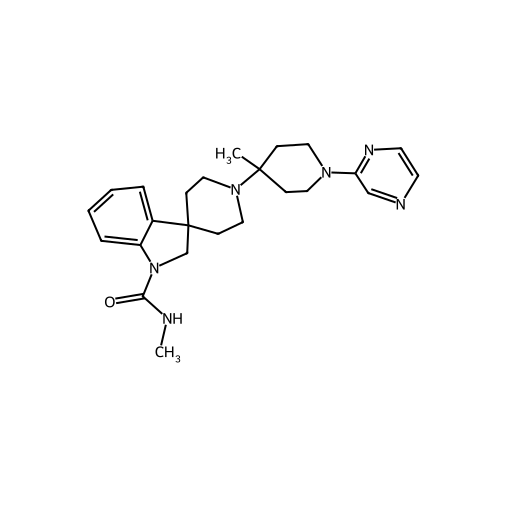 CNC(=O)N1CC2(CCN(C3(C)CCN(c4cnccn4)CC3)CC2)c2ccccc21